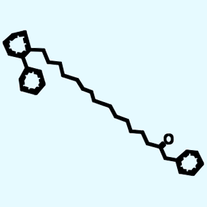 O=C(CCCCCCCCCCCCCCc1ccccc1-c1ccccc1)Cc1ccccc1